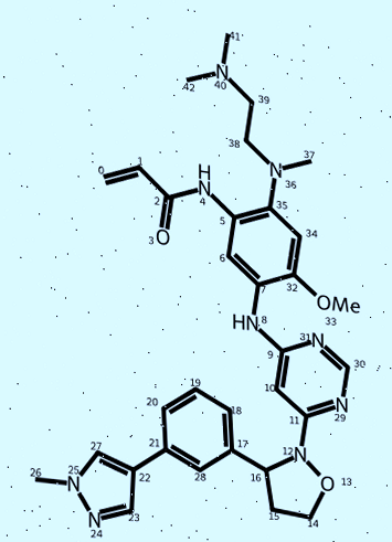 C=CC(=O)Nc1cc(Nc2cc(N3OCCC3c3cccc(-c4cnn(C)c4)c3)ncn2)c(OC)cc1N(C)CCN(C)C